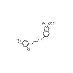 CC(C)[C@@]1(C(=O)O)Cc2cc(OCCCCc3ccc(CC(F)(F)F)cc3Cl)ccc2O1